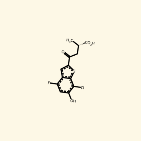 C[C@@H](CC(=O)c1cc2c(F)cc(O)c(Cl)c2s1)C(=O)O